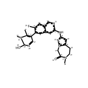 CC1=C(c2cc3cc(Nc4cc5n(n4)CC(=O)N(C)CC5)ncc3cc2F)C=NC(O)N1C